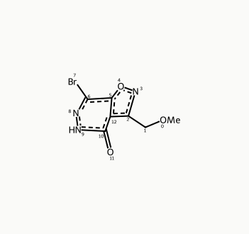 COCc1noc2c(Br)n[nH]c(=O)c12